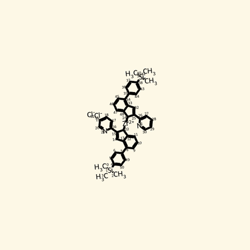 C[Si](C)(C)c1ccc(-c2cccc3c2C=C(c2ccccn2)[CH]3[Zr+2][CH]2C(c3ccccn3)=Cc3c(-c4ccc([Si](C)(C)C)cc4)cccc32)cc1.[Cl-].[Cl-]